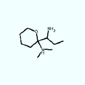 [CH2]CC(N)C1([SiH](C)C)CCCCO1